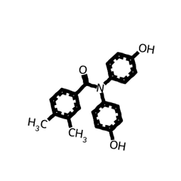 Cc1ccc(C(=O)N(c2ccc(O)cc2)c2ccc(O)cc2)cc1C